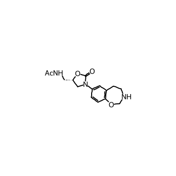 CC(=O)NC[C@H]1CN(c2ccc3c(c2)CCNCO3)C(=O)O1